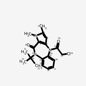 Cc1cc2c(n1C)C(=O)N(C(C)(C)C)c1ccccc1N2C(=O)CCl